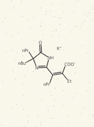 CCCCC1(CCC)N=C(C(CCC)=C(CC)C(=O)[O-])NC1=O.[K+]